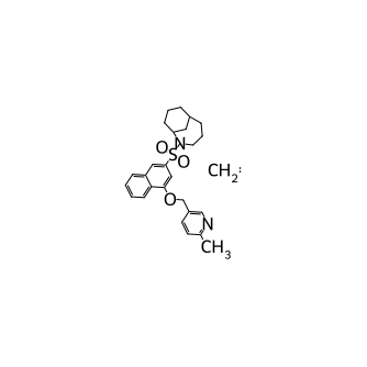 Cc1ccc(COc2cc(S(=O)(=O)N3CCCC4CCCC3C4)cc3ccccc23)cn1.[CH2]